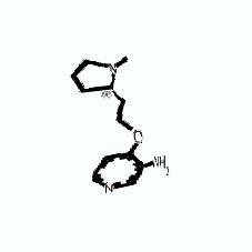 CN1CCC[C@@H]1CCOc1ccncc1N